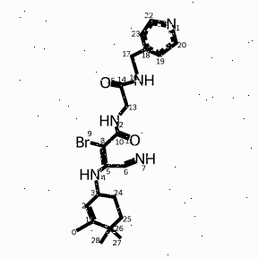 CC1=CC(N/C(C=N)=C(\Br)C(=O)NCC(=O)NCc2ccncc2)CCC1(C)C